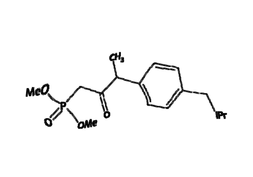 COP(=O)(CC(=O)C(C)c1ccc(CC(C)C)cc1)OC